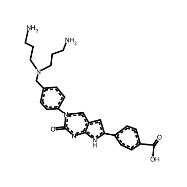 NCCCN(CCCN)Cc1ccc(-n2cc3cc(-c4ccc(C(=O)O)cc4)[nH]c3nc2=O)cc1